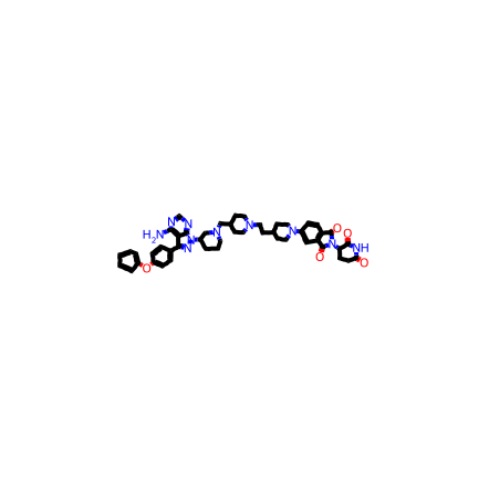 Nc1ncnc2c1c(-c1ccc(Oc3ccccc3)cc1)nn2C1CCCN(CC2CCN(CCC3CCN(c4ccc5c(c4)C(=O)N(C4CCC(=O)NC4=O)C5=O)CC3)CC2)C1